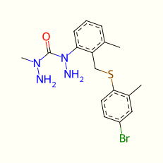 Cc1cc(Br)ccc1SCc1c(C)cccc1N(N)C(=O)N(C)N